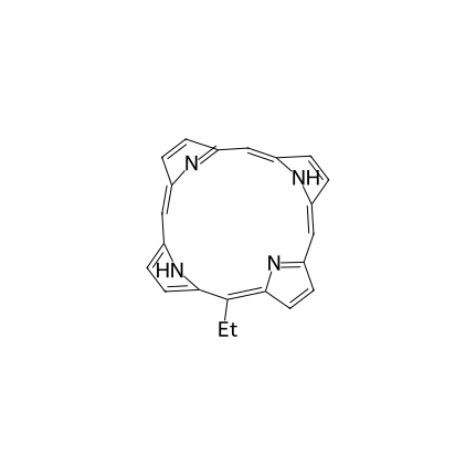 CCc1c2nc(cc3ccc(cc4nc(cc5ccc1[nH]5)C=C4)[nH]3)C=C2